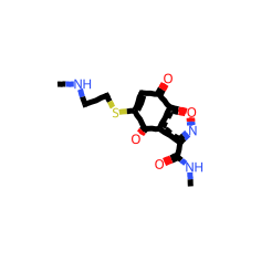 CNCCSC1=CC(=O)c2onc(C(=O)NC)c2C1=O